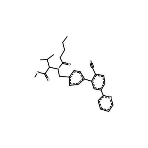 CCCCC(=O)N(Cc1ccc(-c2cc(-c3ccccn3)ccc2C#N)cc1)C(C(=O)OC)C(C)C